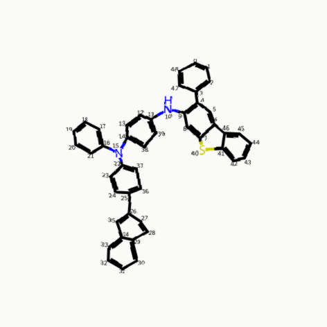 c1ccc(-c2cc3c(cc2Nc2ccc(N(c4ccccc4)c4ccc(-c5ccc6ccccc6c5)cc4)cc2)sc2ccccc23)cc1